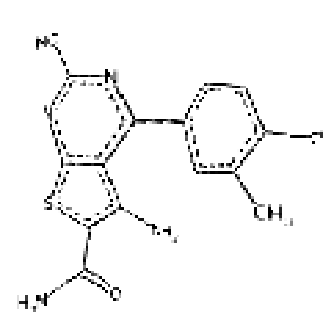 Cc1cc(-c2nc(C#N)nc3sc(C(N)=O)c(N)c23)ccc1Cl